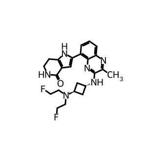 Cc1nc2cccc(-c3cc4c([nH]3)CCNC4=O)c2nc1N[C@H]1C[C@H](N(CCF)CCF)C1